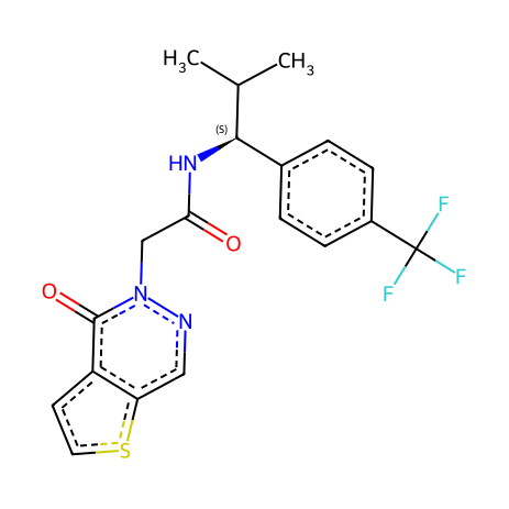 CC(C)[C@H](NC(=O)Cn1ncc2sccc2c1=O)c1ccc(C(F)(F)F)cc1